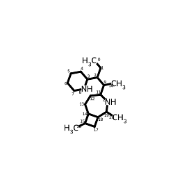 CCC(C1CCCCN1)C(C)C1CCC2C(C)CC2C(C)N1